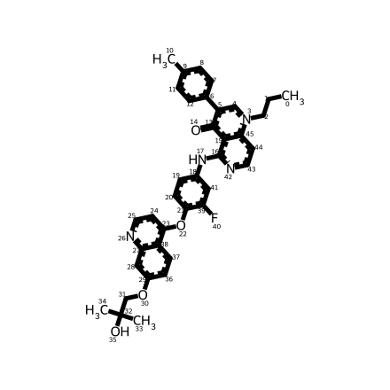 CCCn1cc(-c2ccc(C)cc2)c(=O)c2c(Nc3ccc(Oc4ccnc5cc(OCC(C)(C)O)ccc45)c(F)c3)nccc21